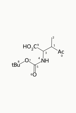 CC(=O)C(C)C(NC(=O)OC(C)(C)C)C(=O)O